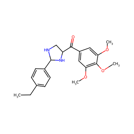 CCc1ccc(C2NCC(C(=O)c3cc(OC)c(OC)c(OC)c3)N2)cc1